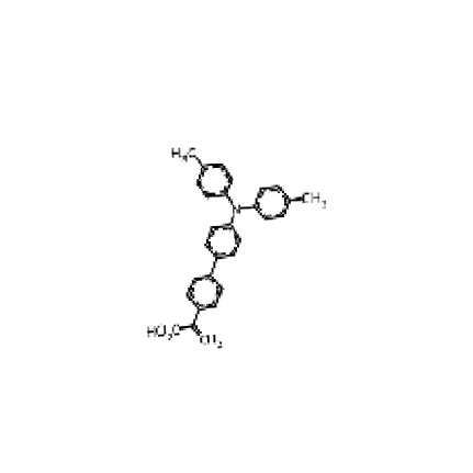 C=C(C(=O)O)c1ccc(-c2ccc(N(c3ccc(C)cc3)c3ccc(C)cc3)cc2)cc1